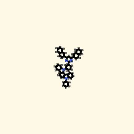 c1ccc(-n2c3ccccc3c3c2ccc2c4ccccc4n(-c4cccc(-c5nc(-c6ccc7ccccc7c6)cc(-c6ccc7ccccc7c6)n5)c4)c23)cc1